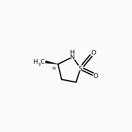 C[C@@H]1CCS(=O)(=O)N1